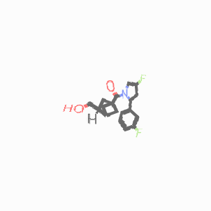 O=C(N1CC(F)CC1c1cccc(F)c1)C12CC(C1)[C@H](CO)C2